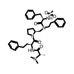 C[C@@H](C(=O)N[C@@H](CCc1ccccc1)C(=O)N1CCC[C@H]1CN(CCc1ccccc1)C(=O)[C@@H](Cc1ccccc1)NS(C)(=O)=O)N(C)C